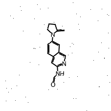 C=C1CCCN1c1ccc2cc(NC=O)ncc2c1